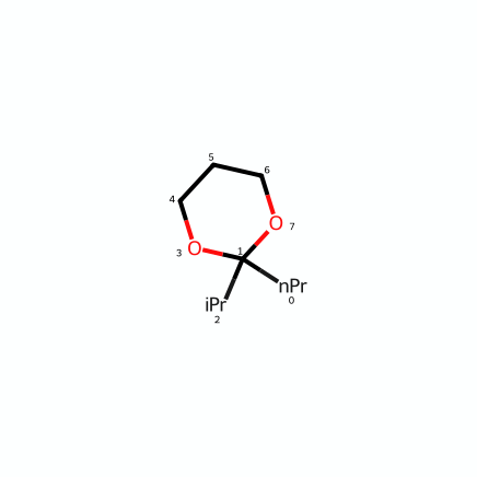 CCCC1(C(C)C)OCCCO1